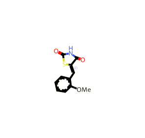 COc1ccccc1/C=C1\SC(=O)NC1=O